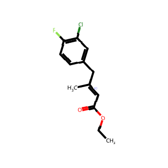 CCOC(=O)/C=C(\C)Cc1ccc(F)c(Cl)c1